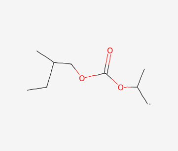 [CH2]C(C)OC(=O)OCC(C)CC